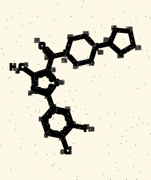 Cc1nc(-c2ccc(Cl)c(F)c2)sc1C(=O)N1CCN(C2CCCC2)CC1